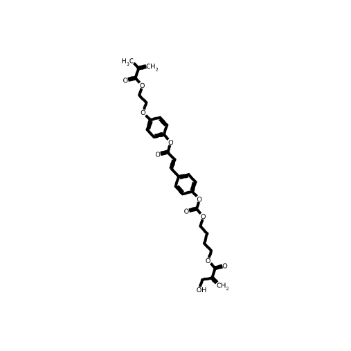 C=C(C)C(=O)OCCOc1ccc(OC(=O)/C=C/c2ccc(OC(=O)OCCCCOC(=O)C(=C)CO)cc2)cc1